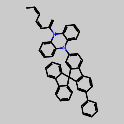 C=C(/C=C\C=C/C)N1c2ccccc2N(c2ccc3c(c2)C2(c4ccccc4-c4ccccc42)c2cc(-c4ccccc4)ccc2-3)c2ccccc21